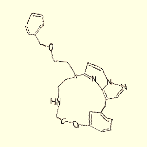 c1ccc(COCCN2CCNCCOc3cccc(c3)-c3cnn4ccc2nc34)cc1